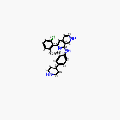 COc1cccc(Cl)c1-c1cc2c(c(Nc3ccc(C4CCNCC4)cc3)n1)CNC=C2